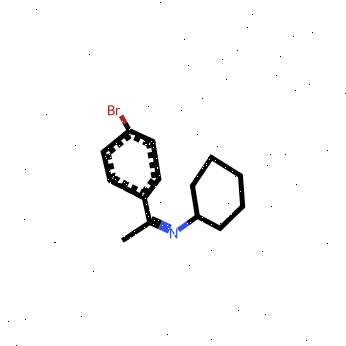 CC(=NC1CCCCC1)c1ccc(Br)cc1